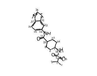 CC(C)S(=O)(=O)NC1CCC(C(=O)Nc2ccc3ncsc3c2)CC1